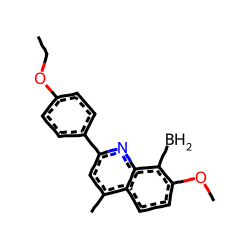 Bc1c(OC)ccc2c(C)cc(-c3ccc(OCC)cc3)nc12